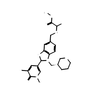 CCC(NCc1ccc2c(c1)NC(c1cc(C)c(=O)n(C)c1)N2C[C@@H]1CCCOC1)C(=O)OC(C)C